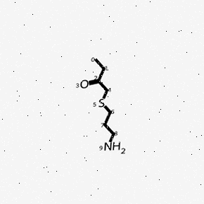 CCC(=O)CSCCCN